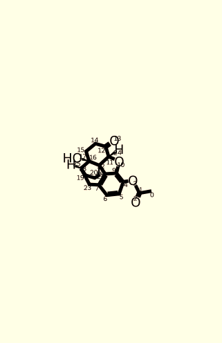 CC(=O)Oc1ccc2c3c1O[C@H]1C(=O)CC[C@@]4(O)[C@H](CCC[C@]314)C2